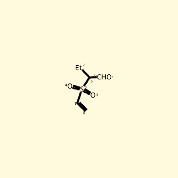 C=CS(=O)(=O)C([C]=O)CC